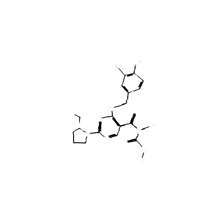 COc1ccc(CNc2nc(N3CCC[C@H]3CO)ncc2C(=O)N(C(=O)NC(C)C)C(C)C)cc1Cl